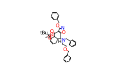 CC(C)(C)[Si](C)(C)OC12C(=O)C=CC[C@@H]1[C@@H](N(CCOCc1ccccc1)Cc1ccccc1)c1onc(OCc3ccccc3)c1C2=O